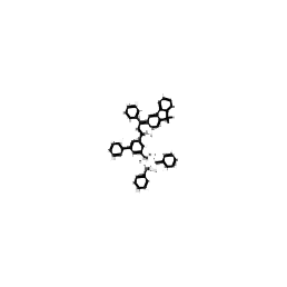 CC1(C)c2ccccc2-c2cc3c(-c4ccccc4)cc(-c4cc(-c5ccccc5)cc(-c5nc(-c6ccccc6)nc(-c6ccccc6)n5)c4)nc3cc21